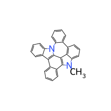 Cn1c2cccc3c4ccccc4n4c5ccccc5c5c6ccccc6c1c(c32)c54